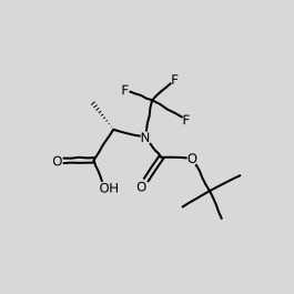 C[C@@H](C(=O)O)N(C(=O)OC(C)(C)C)C(F)(F)F